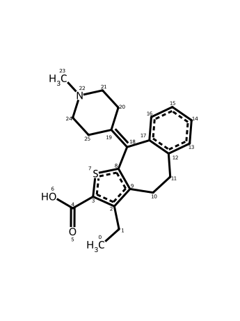 CCc1c(C(=O)O)sc2c1CCc1ccccc1C2=C1CCN(C)CC1